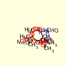 CCC1OC(=O)C(C)C(OC2CC(C)(OC)C(O)C(C)O2)C(C)C(OC2OC(C)CC(N(C)C)C2O)C(C)(O)CC(C)CN(CCCNC=O)C(C)C(O)C1(C)O